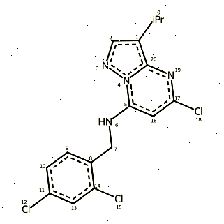 CC(C)c1cnn2c(NCc3ccc(Cl)cc3Cl)cc(Cl)nc12